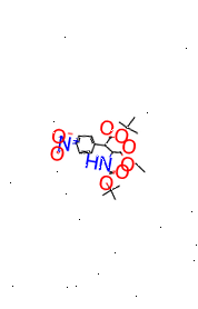 CCOC(=O)C(NC(=O)OC(C)(C)C)C(C(=O)OC(C)(C)C)c1ccc([N+](=O)[O-])cc1